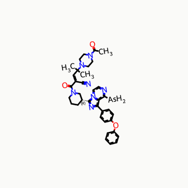 CC(=O)N1CCN(C(C)(C)C=C(C#N)C(=O)N2CCC[C@@H](c3nc(-c4ccc(Oc5ccccc5)cc4)c4c([AsH2])nccn34)C2)CC1